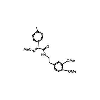 CON=C(C(=O)NCCc1ccc(OC)c(OC)c1)c1ccc(C)cc1